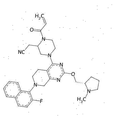 C=CC(=O)N1CCN(c2nc(OC[C@@H]3CCCN3C)nc3c2CCN(c2c(F)ccc4ccccc24)C3)CC1CC#N